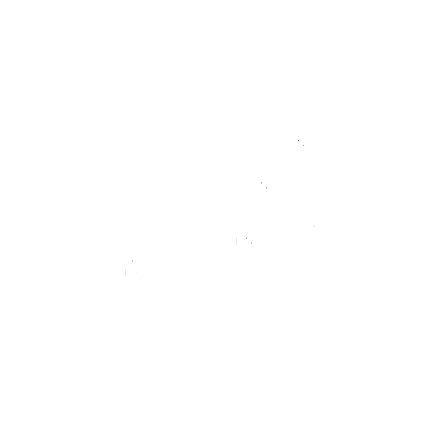 O=C(NC(Cc1c[nH]cn1)C(=O)O)C(O)CO